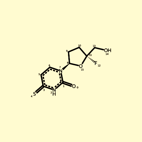 O=c1[nH]c(=S)ccn1[C@H]1CC[C@@](F)(CO)O1